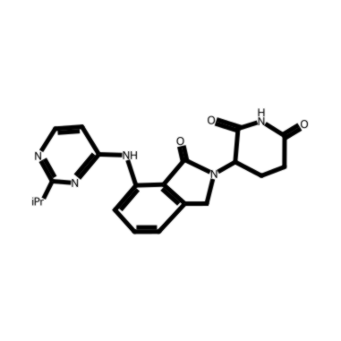 CC(C)c1nccc(Nc2cccc3c2C(=O)N(C2CCC(=O)NC2=O)C3)n1